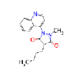 CCCCC1C(=O)N(C)N(c2ccnc3ccccc23)C1=O